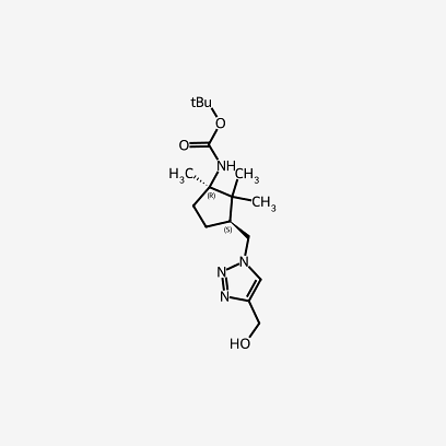 CC(C)(C)OC(=O)N[C@]1(C)CC[C@H](Cn2cc(CO)nn2)C1(C)C